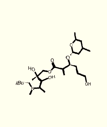 CC[C@@H](C)CN(C)C(C)C(O)[C@](C)(O)COC(=O)C(C)[C@H](CCCO)O[C@H]1CC(C)CC(C)O1